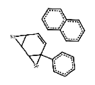 C1=CC2(c3ccccc3)[Se]C2C2[Se]C12.c1ccc2ccccc2c1